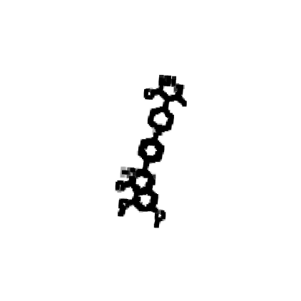 COc1cc(OC)c2c(=O)[nH]c(-c3ccc(N4CCC(C(C(N)=O)C(C)C)CC4)cc3)nc2c1